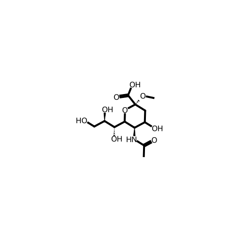 CO[C@]1(C(=O)O)CC(O)[C@@H](NC(C)=O)C([C@H](O)[C@H](O)CO)O1